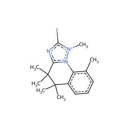 Cc1cccc2c1-n1c(nc(I)[n+]1C)C(C)(C)C2(C)C